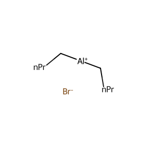 CCC[CH2][Al+][CH2]CCC.[Br-]